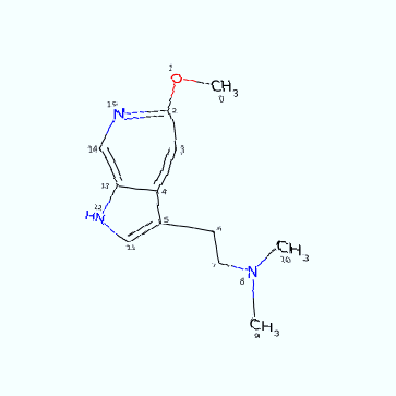 COc1cc2c(CCN(C)C)c[nH]c2cn1